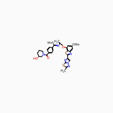 C=C(COc1cc(OC)cc2nc(-c3cn4nc(C)sc4n3)sc12)/N=C(\SC)c1ccc(C(=O)N2CCC[C@H](O)C2)cc1